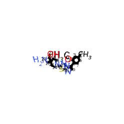 COc1cc(C)ccc1-c1cnc2sc(N3CCC(CN)(CO)CC3)nn12